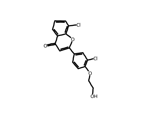 O=c1cc(-c2ccc(OCCO)c(Cl)c2)oc2c(Cl)cccc12